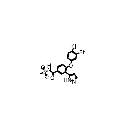 CCc1cc(Oc2ccc(C(=O)NS(C)(=O)=O)cc2-c2ccn[nH]2)ccc1Cl